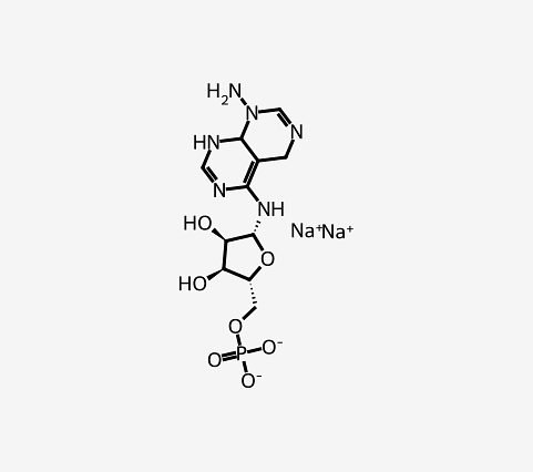 NN1C=NCC2=C(N[C@@H]3O[C@H](COP(=O)([O-])[O-])[C@@H](O)[C@H]3O)N=CNC21.[Na+].[Na+]